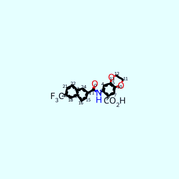 O=C(Nc1cc2c(cc1C(=O)O)OCCO2)c1ccc2cc(C(F)(F)F)ccc2c1